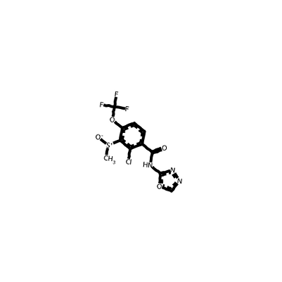 C[S+]([O-])c1c(OC(F)(F)F)ccc(C(=O)Nc2nnco2)c1Cl